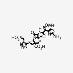 CON=C(C(=O)NC1C(=O)N2CC(CSc3nnnn3CS(=O)(=O)O)(C(=O)O)CS[C@H]12)c1csc(N)n1